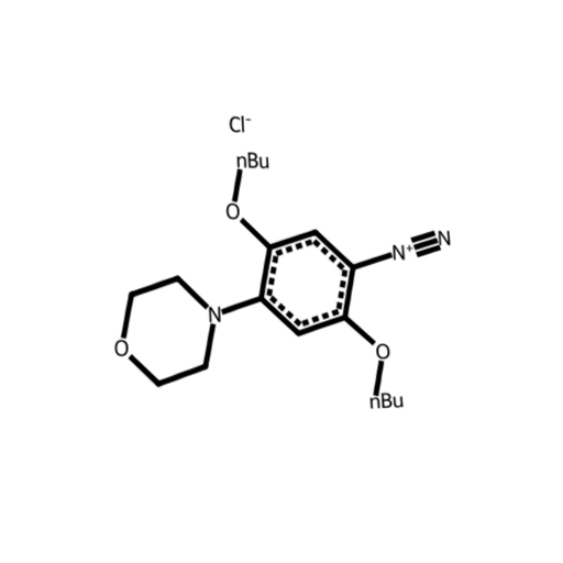 CCCCOc1cc(N2CCOCC2)c(OCCCC)cc1[N+]#N.[Cl-]